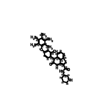 Bc1c(B)c(B)c(Oc2ccc(N3C(=O)Nc4c(C(=O)N[C@@H]5CCCNC5)sc5nccc3c45)c(C)c2)c(B)c1B